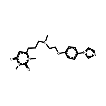 CN(CCCc1cc(=O)n(C)c(=O)n1C)CCOc1ccc(-n2ccnc2)cc1